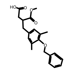 COC(=O)C(CC(=O)O)Cc1cc(C)c(OCc2ccccc2)c(C)c1